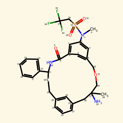 CN(c1cc2cc(c1)C(=O)NC(c1ccccc1)CCc1cccc(c1)CC(C)(N)COC2)S(=O)(=O)CC(F)(F)F